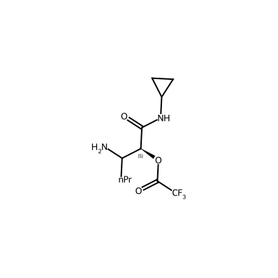 CCCC(N)[C@H](OC(=O)C(F)(F)F)C(=O)NC1CC1